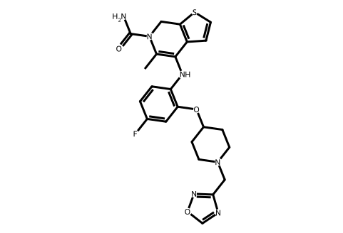 CC1=C(Nc2ccc(F)cc2OC2CCN(Cc3ncon3)CC2)c2ccsc2CN1C(N)=O